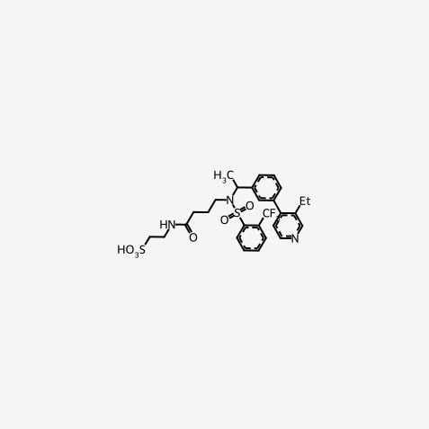 CCc1cnccc1-c1cccc(C(C)N(CCCC(=O)NCCS(=O)(=O)O)S(=O)(=O)c2ccccc2C(F)(F)F)c1